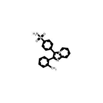 Cc1ccccc1-c1nc2ccccn2c1-c1ccc(S(N)(=O)=O)cc1